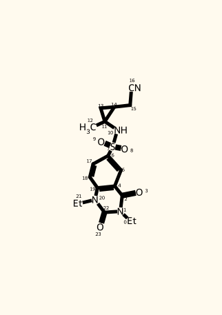 CCn1c(=O)c2cc(S(=O)(=O)NC3(C)CC3CC#N)ccc2n(CC)c1=O